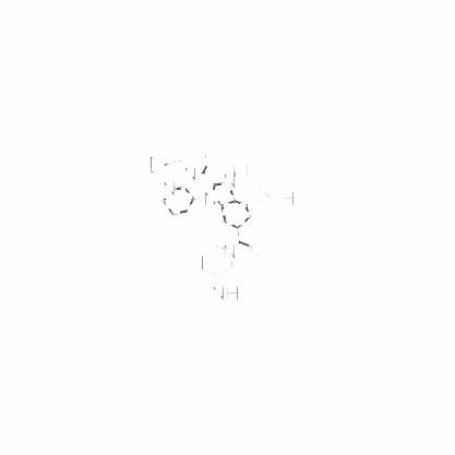 COc1cc(C(=O)N2CCC[C@@H](N)C2)cc2nc(C(=O)N(CC3CC3)c3ccccn3)n(C)c12